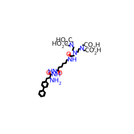 N[C@H](Cc1ccc(-c2ccccc2)cc1)C(=O)NNC(=O)CCCCCNC(=O)CN(CCN(CC(=O)O)CC(=O)O)CCN(CC(=O)O)CC(=O)O